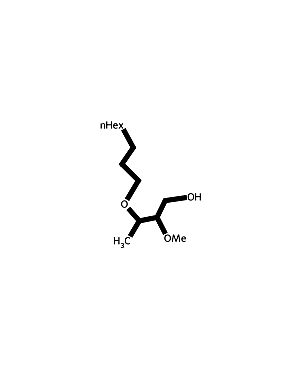 CCCCCCCCCOC(C)C(CO)OC